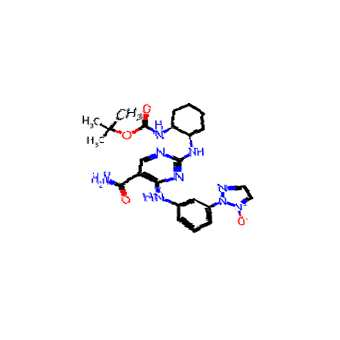 CC(C)(C)OC(=O)N[C@H]1CCCC[C@H]1Nc1ncc(C(N)=O)c(Nc2cccc(-n3ncc[n+]3[O-])c2)n1